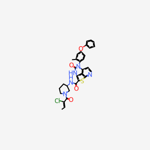 C/C=C(\Cl)C(=O)N1CCC[C@@H](NC(=O)c2sc3nccc4c3c2NC(=O)N4c2ccc(Oc3ccccc3)cc2C)C1